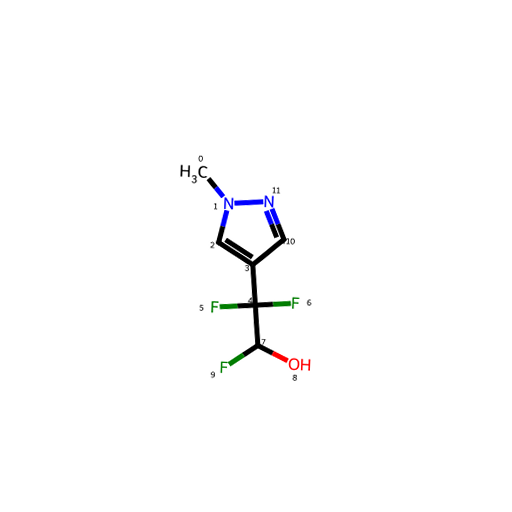 Cn1cc(C(F)(F)C(O)F)[c]n1